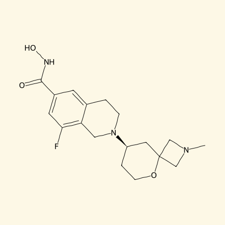 CN1CC2(C[C@H](N3CCc4cc(C(=O)NO)cc(F)c4C3)CCO2)C1